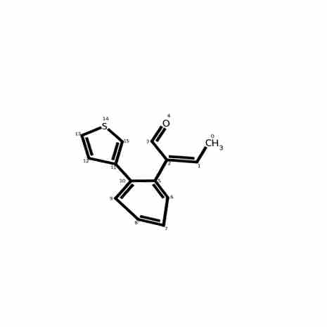 CC=C(C=O)c1ccccc1-c1ccsc1